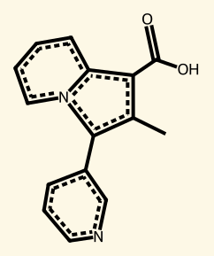 Cc1c(C(=O)O)c2ccccn2c1-c1cccnc1